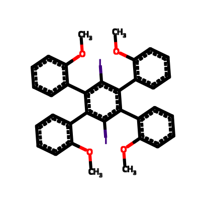 COc1ccccc1-c1c(I)c(-c2ccccc2OC)c(-c2ccccc2OC)c(I)c1-c1ccccc1OC